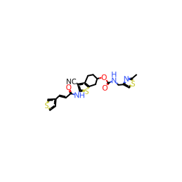 Cc1nc(CNC(=O)OC2CCc3c(sc(NC(=O)C=Cc4ccsc4)c3C#N)C2)cs1